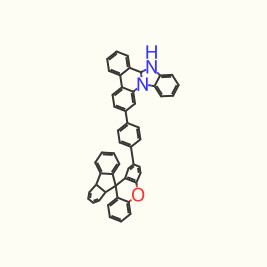 C1=CC2c3ccccc3C3(c4ccccc4Oc4ccc(-c5ccc(-c6ccc7c(c6)N6c8ccccc8NC6c6ccccc6-7)cc5)cc43)C2C=C1